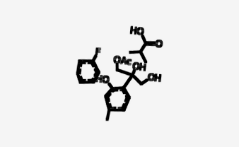 CC(=O)OCC(O)(CO)c1ccc(C)cc1O.CC(C)C(=O)O.Fc1ccccc1